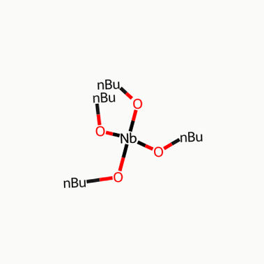 CCCC[O][Nb]([O]CCCC)([O]CCCC)[O]CCCC